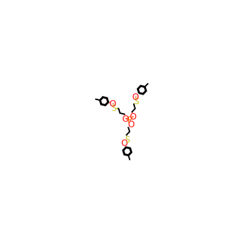 Cc1ccc(OSCCCOP(OCCCSOc2ccc(C)cc2)OCCCSOc2ccc(C)cc2)cc1